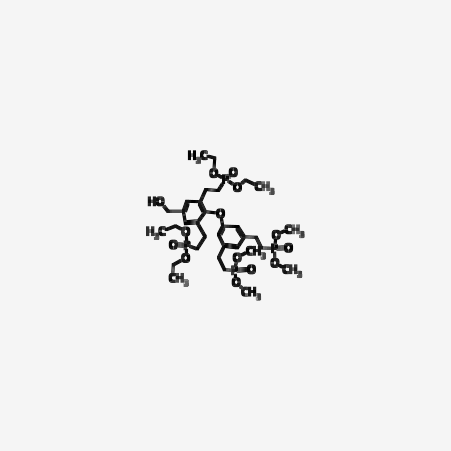 CCOP(=O)(CCc1cc(CO)cc(CCP(=O)(OCC)OCC)c1Oc1cc(CCP(=O)(OC)OC)cc(CCP(=O)(OC)OC)c1)OCC